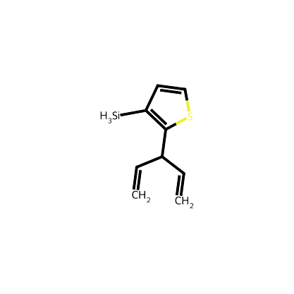 C=CC(C=C)c1sccc1[SiH3]